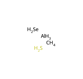 C.S.[AlH3].[SeH2]